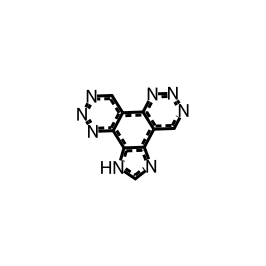 c1nc2c3cnnnc3c3cnnnc3c2[nH]1